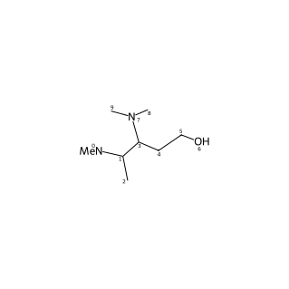 CNC(C)C(CCO)N(C)C